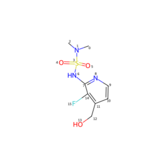 CN(C)S(=O)(=O)Nc1nccc(CO)c1F